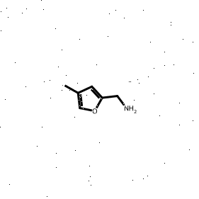 [CH2]c1coc(CN)c1